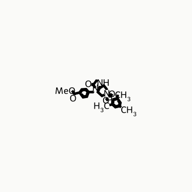 COC(=O)c1ccc(CN2C(=O)CNC23CCN(S(=O)(=O)c2c(C)cc(C)cc2C)CC3)cc1